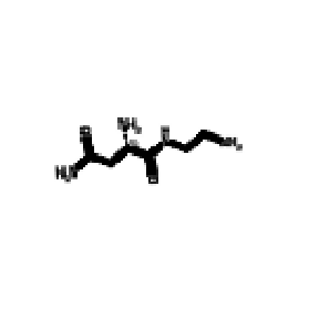 NCCNC(=O)[C@@H](N)CC(N)=O